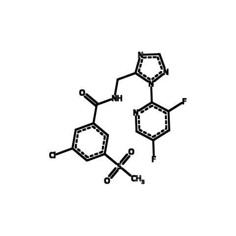 CS(=O)(=O)c1cc(Cl)cc(C(=O)NCc2ncnn2-c2ncc(F)cc2F)c1